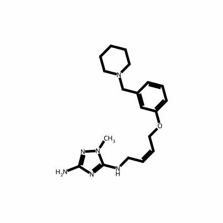 Cn1nc(N)nc1NC/C=C\COc1cccc(CN2CCCCC2)c1